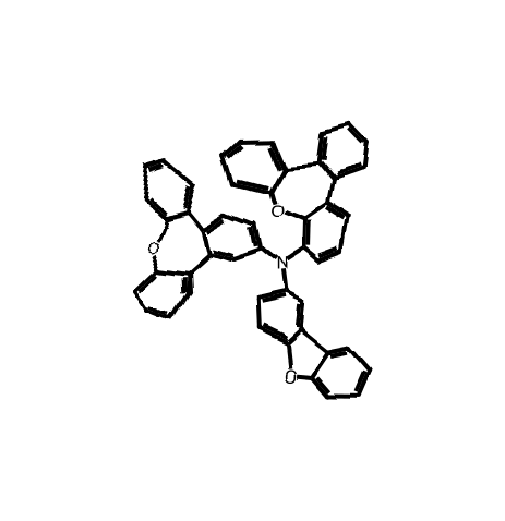 c1ccc2c(c1)Oc1ccccc1-c1cc(N(c3ccc4oc5ccccc5c4c3)c3cccc4c3Oc3ccccc3-c3ccccc3-4)ccc1-2